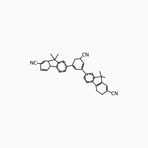 CC1(C)C2=C(CCC(C#N)=C2)c2ccc(C3=CC(C#N)CC(c4ccc5c(c4)C(C)(C)C4C=C(C#N)C=CC54)=C3)cc21